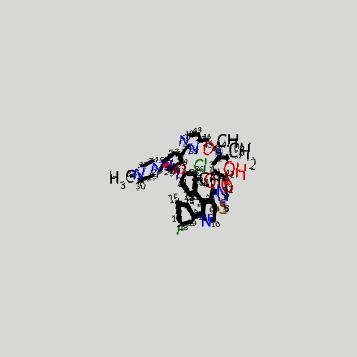 C=C/C(C[C@@H](Oc1nsc2cnc(-c3cccc(F)c3)c(-c3ccc(OCCN4CCN(C)CC4)c(Cl)c3C)c12)C(=O)O)=C(\C)OCc1ccnc(-c2ccnc(I)c2)n1